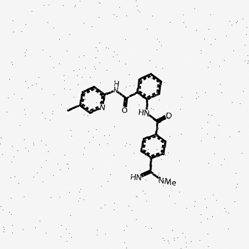 CNC(=N)c1ccc(C(=O)Nc2ccccc2C(=O)Nc2ccc(C)cn2)cc1